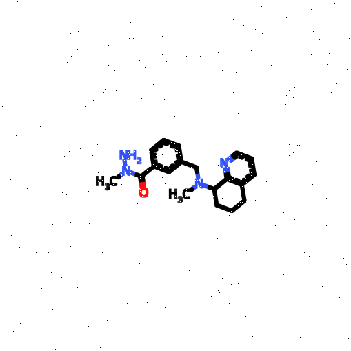 CN(N)C(=O)c1cccc(CN(C)C2CCCc3cccnc32)c1